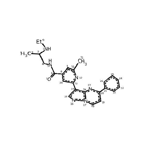 CCNC(C)CNC(=O)c1cc(C)nc(-c2cnn3ccc(-c4ccccc4)nc23)c1